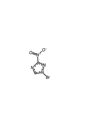 O=[N+]([O-])c1ncn(Br)n1